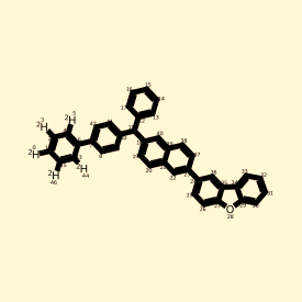 [2H]c1c([2H])c([2H])c(-c2ccc(C(c3ccccc3)c3ccc4cc(-c5ccc6oc7ccccc7c6c5)ccc4c3)cc2)c([2H])c1[2H]